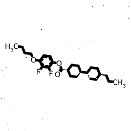 CCCCOc1ccc(OC(=O)[C@H]2CC[C@H]([C@H]3CC[C@H](CCC)CC3)CC2)c(F)c1F